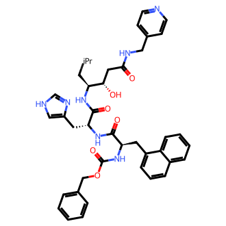 CC(C)C[C@H](NC(=O)[C@@H](Cc1c[nH]cn1)NC(=O)[C@@H](Cc1cccc2ccccc12)NC(=O)OCc1ccccc1)[C@@H](O)CC(=O)NCc1ccncc1